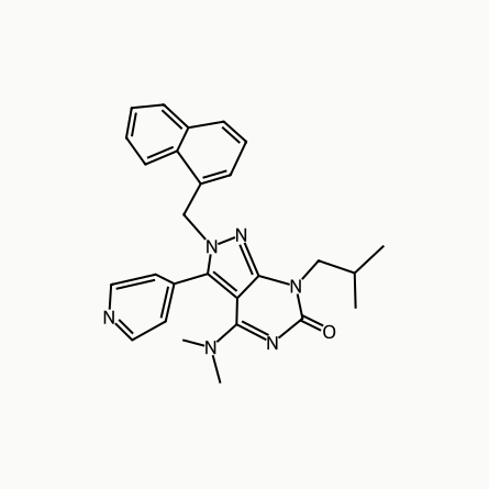 CC(C)Cn1c(=O)nc(N(C)C)c2c(-c3ccncc3)n(Cc3cccc4ccccc34)nc21